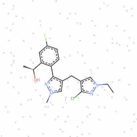 CCn1cc(Cc2cn(C)nc2-c2ccc(F)cc2[C@H](C)O)c(Cl)n1